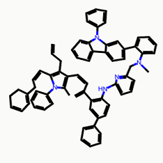 C=CCc1c(/C=C\C(=C)c2cc(-c3ccccc3)ccc2Nc2cccc(CN(C)c3ccccc3-c3ccc4c5ccccc5n(-c5ccccc5)c4c3)n2)c(C)n(-c2ccccc2)c1/C=C\CC1=CC=CCC1